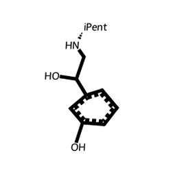 CCC[C@@H](C)NCC(O)c1cccc(O)c1